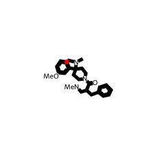 CNCC(Cc1ccccc1)C(=O)N1CCC(c2cccc(OC)c2)(N(C)C)CC1